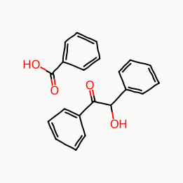 O=C(O)c1ccccc1.O=C(c1ccccc1)C(O)c1ccccc1